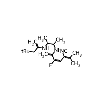 C=C(CC(C)(C)C)N[C@@H](C)C(C)NC(=C)/C(F)=C\C(C#N)=C(C)C